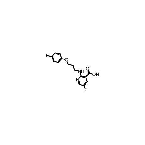 O=C(O)c1cc(F)cnc1NCCCOc1ccc(F)cc1